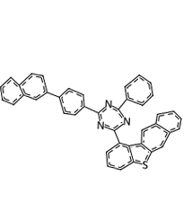 c1ccc(-c2nc(-c3ccc(-c4ccc5ccccc5c4)cc3)nc(-c3cccc4sc5cc6ccccc6cc5c34)n2)cc1